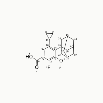 COc1c(F)c(C(=O)O)cc(C2CC2)c1C12CC3CC(CC(C3)C1)C2